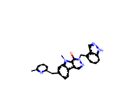 Cc1cccc(Cc2ccc3c4cnn(Cc5cccc6[nH]ncc56)c(=O)c4n(C)c3c2)n1